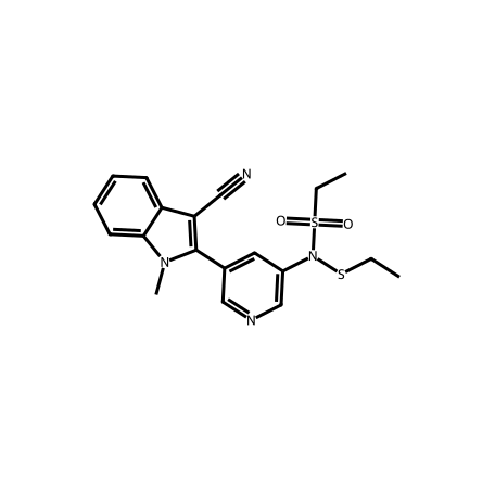 CCSN(c1cncc(-c2c(C#N)c3ccccc3n2C)c1)S(=O)(=O)CC